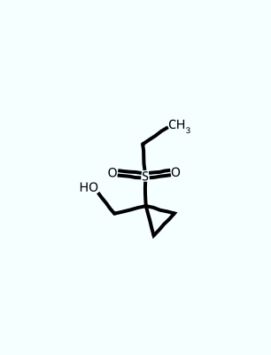 CCS(=O)(=O)C1(CO)CC1